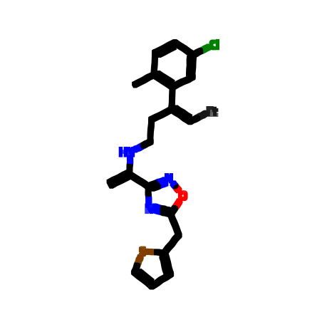 C=C(NCC/C(=C/CC)c1cc(Cl)ccc1C)c1noc(Cc2cccs2)n1